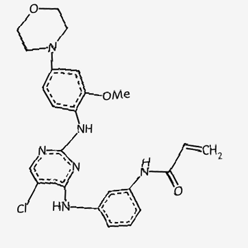 C=CC(=O)Nc1cccc(Nc2nc(Nc3ccc(N4CCOCC4)cc3OC)ncc2Cl)c1